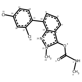 CNC(=O)Oc1c2cccc(-c3ccc(Cl)cc3Cl)c2nn1C